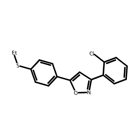 CCSc1ccc(-c2cc(-c3ccccc3Cl)no2)cc1